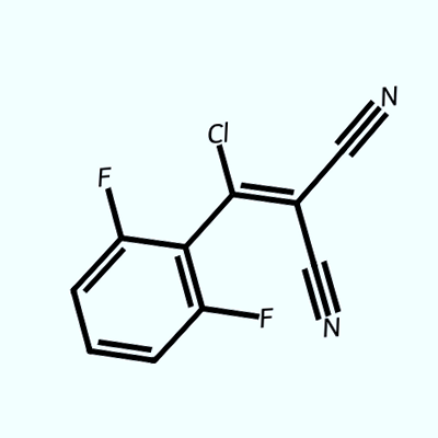 N#CC(C#N)=C(Cl)c1c(F)cccc1F